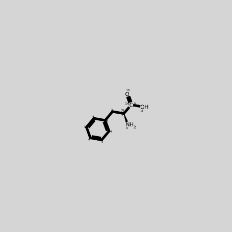 N[C@@H](Cc1ccccc1)[14C](=O)O